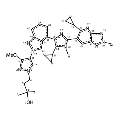 COc1nn(CCC(C)(C)O)cc1-n1cc2c(-c3nc(-c4cc5cn(C)nc5nc4C4CC4)n(C)c3C3CC3)cccc2n1